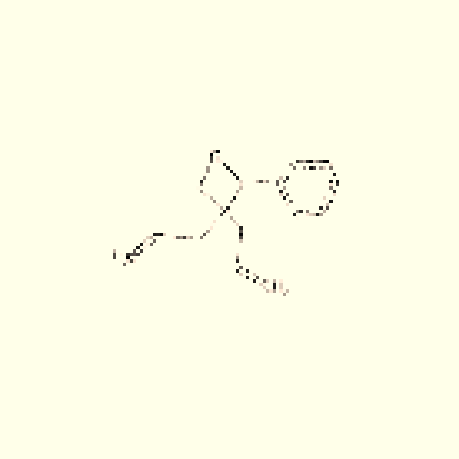 C=CCC1(CC=C)COC1c1ccccc1